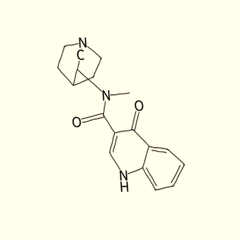 CN(C(=O)c1c[nH]c2ccccc2c1=O)C1CN2CCC1CC2